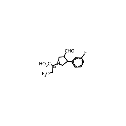 O=CC1CN([C@@H](CC(F)(F)F)C(=O)O)CC1c1cccc(F)c1